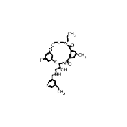 CCCN1CCCCOc2cc(F)cc(c2)C[C@@H]([C@H](O)CNCc2cncc(CC)c2)NC(=O)c2cc(C)cc(c2)C1=O